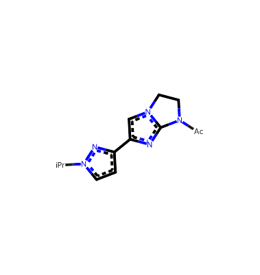 CC(=O)N1CCn2cc(-c3ccn(C(C)C)n3)nc21